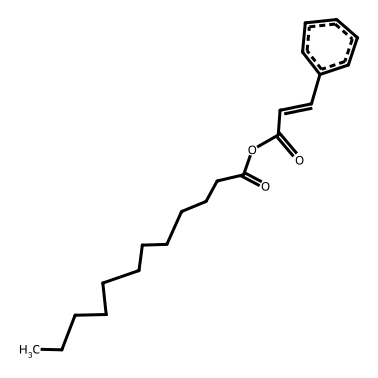 CCCCCCCCCCCC(=O)OC(=O)C=Cc1ccccc1